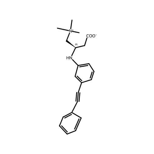 C[N+](C)(C)C[C@@H](CC(=O)[O-])Nc1cccc(C#Cc2ccccc2)c1